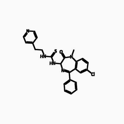 CN1C(=O)C(NC(=S)NCCc2ccncc2)N=C(c2ccccc2)c2cc(Cl)ccc21